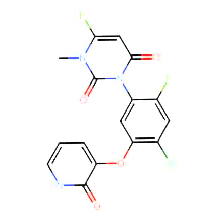 Cn1c(F)cc(=O)n(-c2cc(Oc3ccc[nH]c3=O)c(Cl)cc2F)c1=O